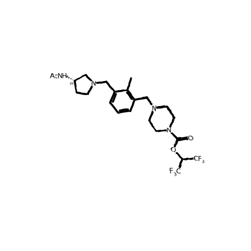 CC(=O)N[C@H]1CCN(Cc2cccc(CN3CCN(C(=O)OC(C(F)(F)F)C(F)(F)F)CC3)c2C)C1